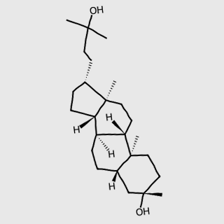 CC(C)(O)CC[C@H]1CC[C@H]2[C@@H]3CC[C@H]4C[C@@](C)(O)CC[C@]4(C)[C@H]3CC[C@]12C